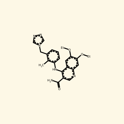 CCOc1cc2ncc(C(N)=O)c(Nc3cccc(Cn4cnnc4)c3C)c2cc1OCC